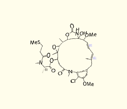 COc1cc2cc(c1Cl)N(C)C(=O)CC(OC(=O)[C@H](C)N(C)C(=O)CCSC)C1(C)OC1C(C)C1CC(O)(NC(=O)O1)C(OC)/C=C/C=C(\C)C2